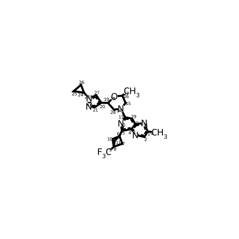 Cc1cnc2c(C34CC(C(F)(F)F)(C3)C4)nc(N3CC(C)OC(c4cnn(C5CC5)c4)C3)cc2n1